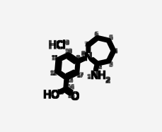 Cl.NC1CCCCCN1c1cccc(C(=O)O)c1